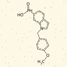 COc1ccc(Cn2ccc3ccc([PH](=O)O)cc32)cc1